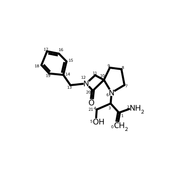 C=C(N)C(CO)N1CCCC12CN(Cc1ccccc1)C2=O